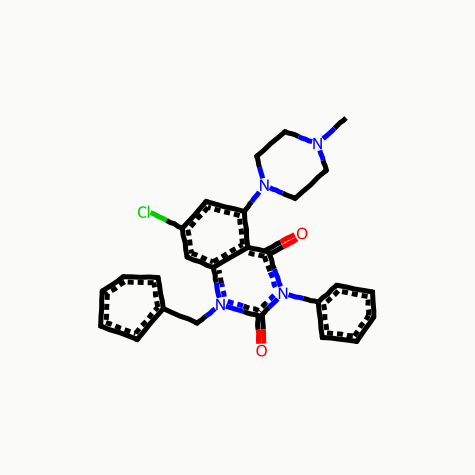 CN1CCN(c2cc(Cl)cc3c2c(=O)n(-c2ccccc2)c(=O)n3Cc2ccccc2)CC1